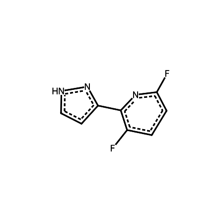 Fc1ccc(F)c(-c2cc[nH]n2)n1